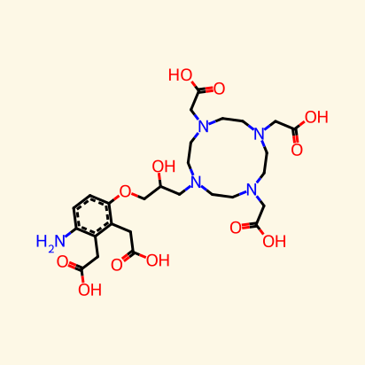 Nc1ccc(OCC(O)CN2CCN(CC(=O)O)CCN(CC(=O)O)CCN(CC(=O)O)CC2)c(CC(=O)O)c1CC(=O)O